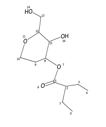 CCC(CC)C(=O)OC1CCOC(CO)C1O